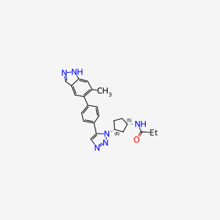 CCC(=O)N[C@H]1CC[C@@H](n2nncc2-c2ccc(-c3cc4cn[nH]c4cc3C)cc2)C1